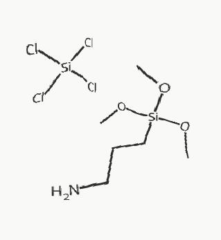 CO[Si](CCCN)(OC)OC.Cl[Si](Cl)(Cl)Cl